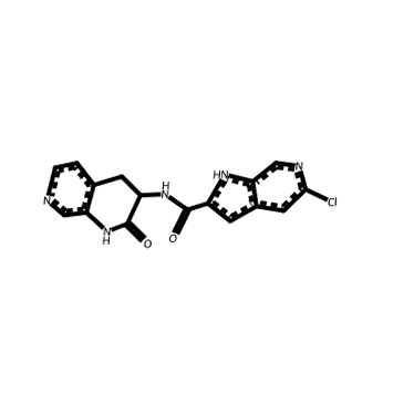 O=C(NC1Cc2ccncc2NC1=O)c1cc2cc(Cl)ncc2[nH]1